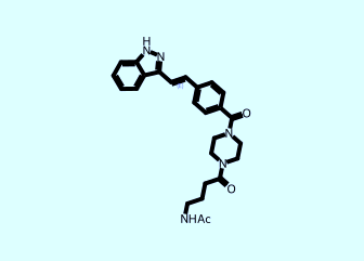 CC(=O)NCCCC(=O)N1CCN(C(=O)c2ccc(/C=C/c3n[nH]c4ccccc34)cc2)CC1